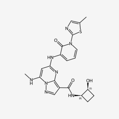 CNc1cc(Nc2cccn(-c3ncc(C)s3)c2=O)nc2c(C(=O)N[C@@H]3CC[C@@H]3O)cnn12